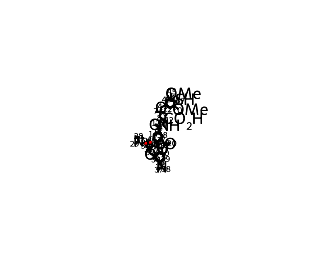 COc1cc(OC(C)(C)CC(NC(=O)c2ccc3c(c2)C(=O)OC32c3ccc(N(C)C)cc3Oc3cc(N(C)C)ccc32)C(=O)O)cc(OC)c1S